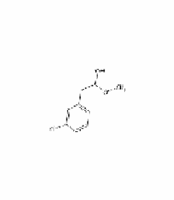 COC(O)Cc1cccc(Cl)c1